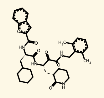 Cc1cccc(C)c1CNC(=O)C(=O)[C@H](C[C@@H]1CCCNC1=O)NC(=O)[C@H](CC1CCCCC1)NC(=O)c1cc2ccccc2o1